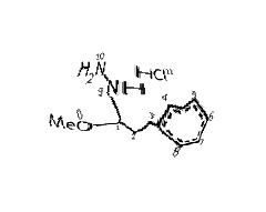 COC(Cc1ccccc1)NN.Cl